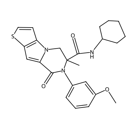 COc1cccc(N2C(=O)c3cc4sccc4n3CC2(C)C(=O)NC2CCCCC2)c1